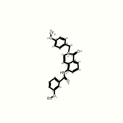 CCOc1cccc(C(=O)Nc2cccc3c(=O)n(Cc4ccc(OC(F)(F)F)cc4)ccc23)c1